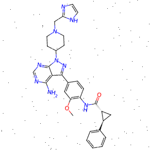 COc1cc(-c2nn(C3CCN(Cc4ncc[nH]4)CC3)c3ncnc(N)c23)ccc1NC(=O)[C@@H]1C[C@H]1c1ccccc1